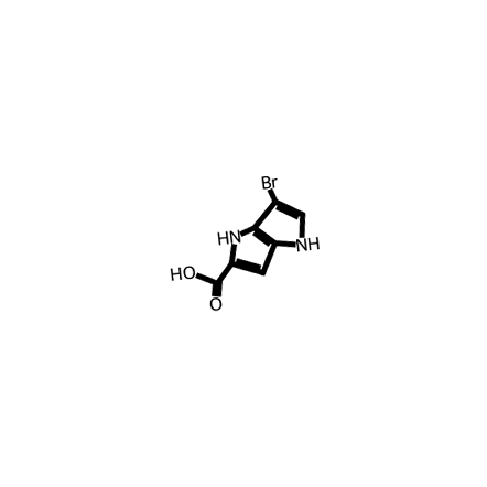 O=C(O)c1cc2[nH]cc(Br)c2[nH]1